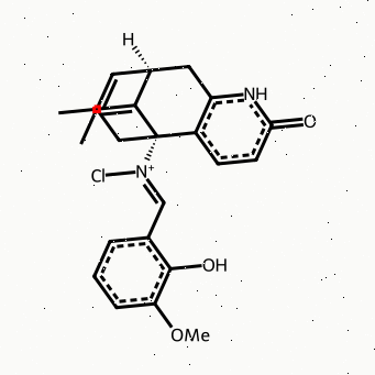 CC=C1[C@H]2C=C(C)C[C@]1([N+](Cl)=Cc1cccc(OC)c1O)c1ccc(=O)[nH]c1C2